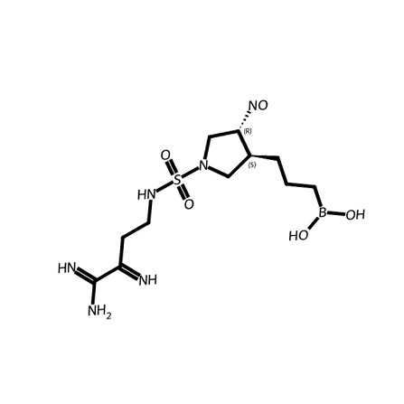 N=C(N)C(=N)CCNS(=O)(=O)N1C[C@H](CCCB(O)O)[C@@H](N=O)C1